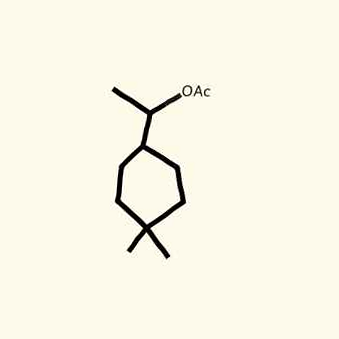 CC(=O)OC(C)C1CCC(C)(C)CC1